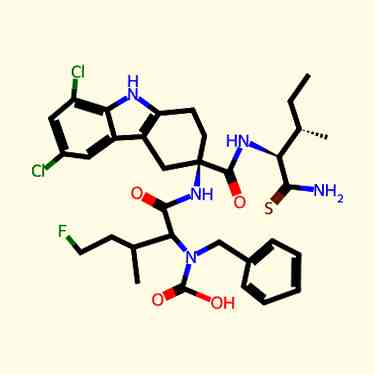 CC[C@H](C)[C@H](NC(=O)[C@@]1(NC(=O)C(C(C)CCF)N(Cc2ccccc2)C(=O)O)CCc2[nH]c3c(Cl)cc(Cl)cc3c2C1)C(N)=S